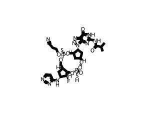 CC(C)C(=O)Nc1nc2c(nnn2[C@@H]2C[C@@H]3CO[P@@](=O)(S)O[C@@H]4[C@@H](CO[P@](=S)(OCCC#N)O[C@@H]2C3)C[C@@H](Nc2ccncn2)[C@@H]4F)c(=O)[nH]1